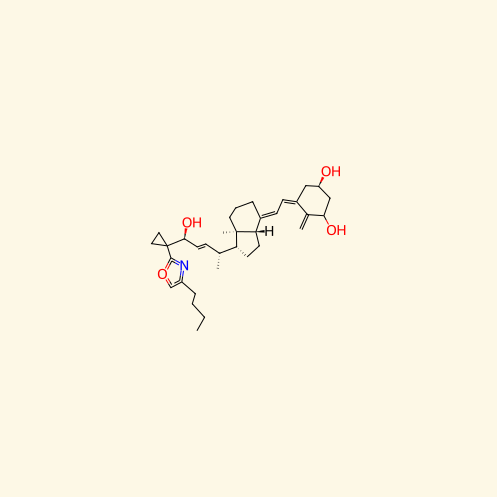 C=C1/C(=C\C=C2/CCC[C@]3(C)[C@@H]([C@H](C)/C=C/[C@H](O)C4(c5nc(CCCC)co5)CC4)CC[C@@H]23)C[C@@H](O)CC1O